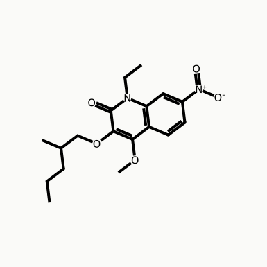 CCCC(C)COc1c(OC)c2ccc([N+](=O)[O-])cc2n(CC)c1=O